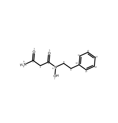 NC(=O)CC(=O)N(O)CCc1ccccc1